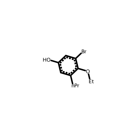 CCCc1cc(O)cc(Br)c1OCC